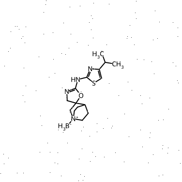 [BH3-][N+]12CCC(CC1)C1(CN=C(Nc3nc(C(C)C)cs3)O1)C2